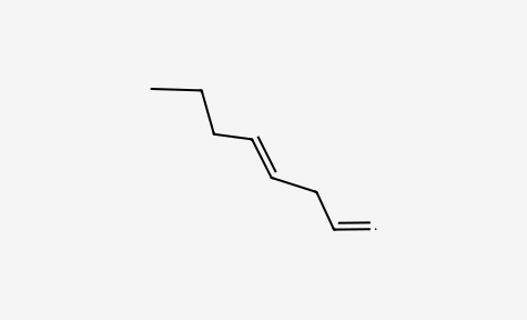 [CH]=CCC=CCCC